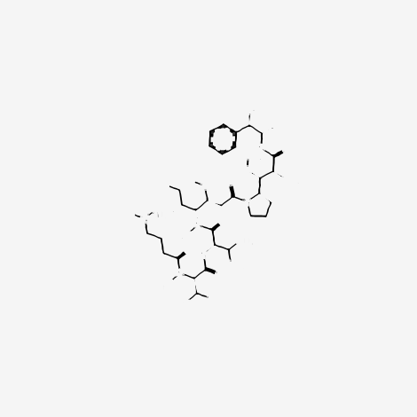 CC[C@@H](C)[C@H]([C@H](CC(=O)N1CCC[C@@H]1[C@@H](OC)[C@H](C)C(=O)N[C@@H](C)[C@H](O)c1ccccc1)OC)N(C)C(=O)[C@H](NC(=O)[C@@H](C(C)C)N(C)C(=O)CCC[SiH](C)C)C(C)C